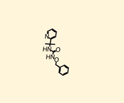 CC(C)(NC(=O)NOCc1ccccc1)c1ccccn1